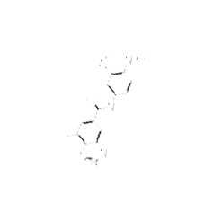 Cc1cc(C(=O)Nc2ccc([N+](=O)[O-])c([N+](=O)[O-])c2)cc2[nH]nnc12